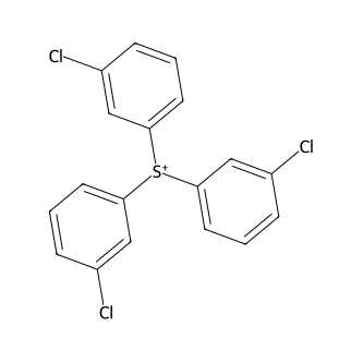 Clc1cccc([S+](c2cccc(Cl)c2)c2cccc(Cl)c2)c1